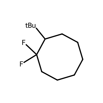 CC(C)(C)C1CCCCCCC1(F)F